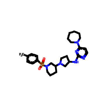 O=S(=O)(c1ccc(C(F)(F)F)cc1)N1CCCC(N2CCC(Nc3nccc(N4CCCCCC4)n3)C2)C1